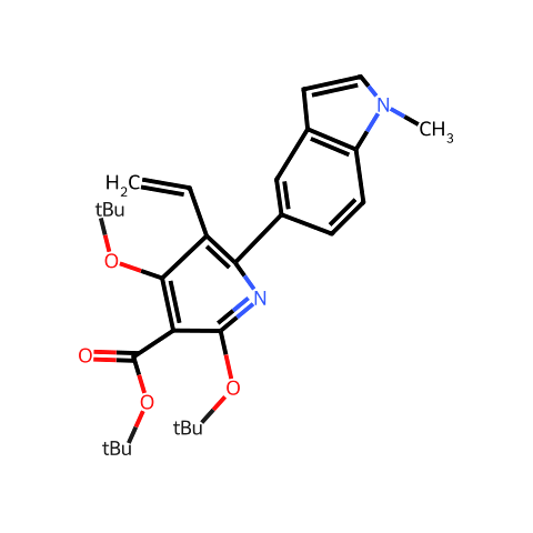 C=Cc1c(-c2ccc3c(ccn3C)c2)nc(OC(C)(C)C)c(C(=O)OC(C)(C)C)c1OC(C)(C)C